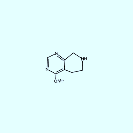 COc1ncnc2c1CCNC2